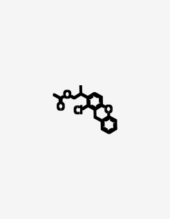 CC(=O)OCC(C)c1ccc2c(c1Cl)Cc1ccccc1O2